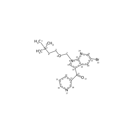 C[Si](C)(C)CCOCn1cc(C(=O)c2cccnc2)c2cc(Br)cnc21